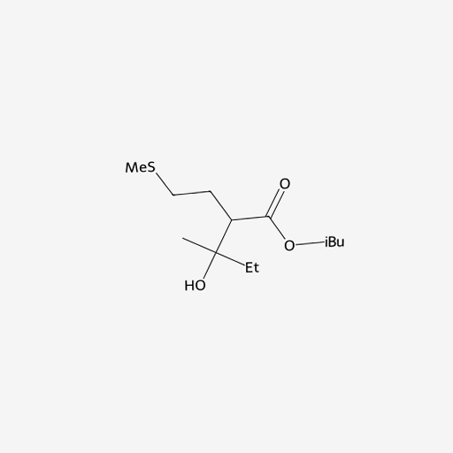 CCC(C)OC(=O)C(CCSC)C(C)(O)CC